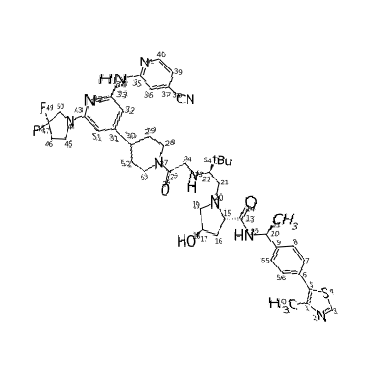 Cc1ncsc1-c1ccc([C@H](C)NC(=O)[C@@H]2C[C@@H](O)CN2C[C@@H](NCC(=O)N2CCC(c3cc(Nc4cc(C#N)ccn4)nc(N4CCC(F)(F)C4)c3)CC2)C(C)(C)C)cc1